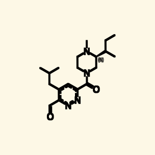 CCC(C)[C@H]1CN(C(=O)c2cc(CC(C)C)c(C=O)nn2)CCN1C